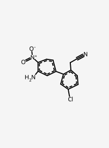 N#CCc1ccc(Cl)cc1-c1ccc([N+](=O)[O-])c(N)c1